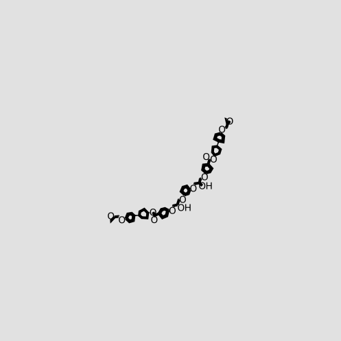 O=C(O[C@H]1CC[C@H](c2ccc(OCC3CO3)cc2)CC1)c1ccc(OCC(O)COc2cccc(OCC(O)COc3ccc(C(=O)O[C@H]4CC[C@H](c5ccc(OCC6CO6)cc5)CC4)cc3)c2)cc1